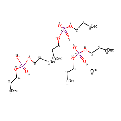 CCCCCCCCCCCCOP(=O)([O-])OCCCCCCCCCCCC.CCCCCCCCCCCCOP(=O)([O-])OCCCCCCCCCCCC.CCCCCCCCCCCCOP(=O)([O-])OCCCCCCCCCCCC.[Cr+3]